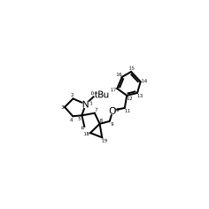 CC(C)(C)N1CCCC1(C)CC1(COCc2ccccc2)CC1